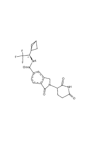 O=C1CCC(N2Cc3cc(C(=O)N[C@@H](C(F)(F)F)C45CC(C4)C5)ccc3C2=O)C(=O)N1